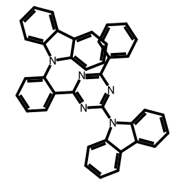 c1ccc(-c2nc(-c3ccccc3-n3c4ccccc4c4ccccc43)nc(-n3c4ccccc4c4ccccc43)n2)cc1